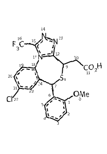 COc1ccccc1C1SC(CC(=O)O)c2nnc(C(F)(F)F)n2-c2ccc(Cl)cc21